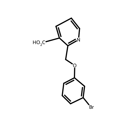 O=C(O)c1cccnc1COc1cccc(Br)c1